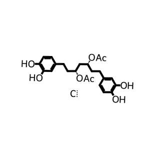 CC(=O)O[C@H](CCc1ccc(O)c(O)c1)C[C@@H](CCc1ccc(O)c(O)c1)OC(C)=O.[C]